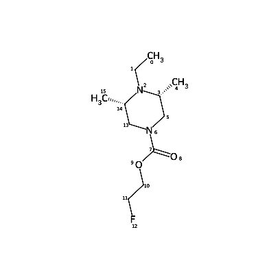 CCN1[C@H](C)CN(C(=O)OCCF)C[C@@H]1C